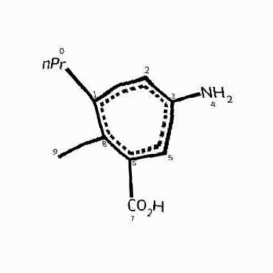 CCCc1cc(N)cc(C(=O)O)c1C